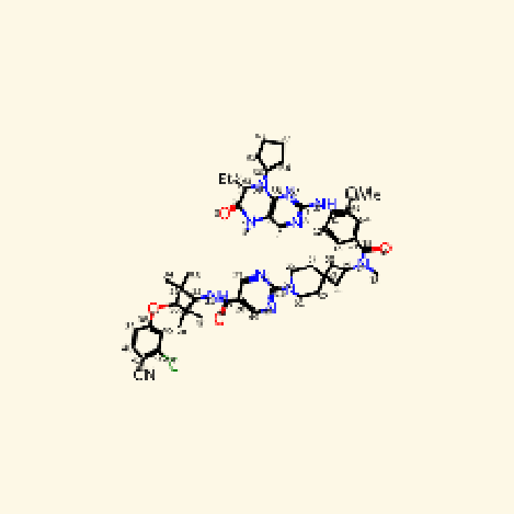 CC[C@@H]1C(=O)N(C)c2cnc(Nc3ccc(C(=O)N(C)C4CC5(CCN(c6ncc(C(=O)NC7C(C)(C)C(Oc8ccc(C#N)c(Cl)c8)C7(C)C)cn6)CC5)C4)cc3OC)nc2N1C1CCCC1